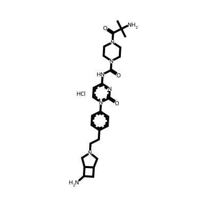 CC(C)(N)C(=O)N1CCN(C(=O)Nc2ccn(-c3ccc(CCN4CC5CC(N)C5C4)cc3)c(=O)n2)CC1.Cl